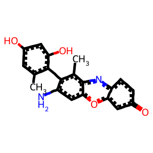 Cc1cc(O)cc(O)c1-c1c(N)cc2oc3cc(=O)ccc-3nc2c1C